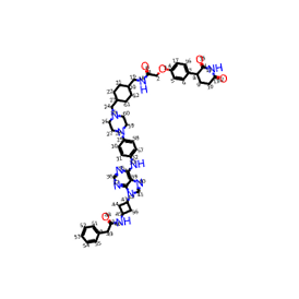 O=C(COc1ccc(C2CCC(=O)NC2=O)cc1)NCC1CCC(CN2CCN(c3ccc(Nc4ncnc5c4ncn5C4CC(NC(=O)Cc5ccccc5)C4)cc3)CC2)CC1